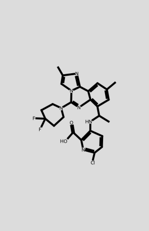 Cc1cc(C(C)Nc2ccc(Cl)nc2C(=O)O)c2nc(N3CCC(F)(F)CC3)n3cc(C)nc3c2c1